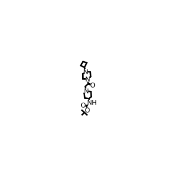 CC(C)(C)OC(=O)NC1CCN(CC(=O)N2CCN(C3CCC3)CC2)CC1